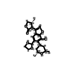 C[C@@H]1CN(c2c(C3OCCO3)cc3c(N4C(=O)OC[C@@H]4C)noc3c2Cl)C[C@@H](C)O1